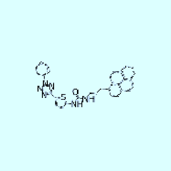 O=C(NCCCc1ccc2ccc3cccc4ccc1c2c34)Nc1ccc(-c2nnn(-c3ccccc3)n2)s1